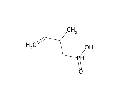 C=CC(C)C[PH](=O)O